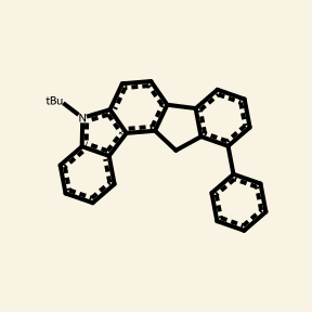 CC(C)(C)n1c2ccccc2c2c3c(ccc21)-c1cccc(-c2ccccc2)c1C3